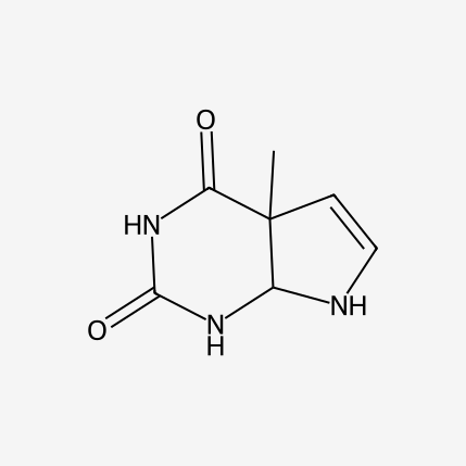 CC12C=CNC1NC(=O)NC2=O